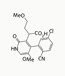 COCCC(C(=O)O)c1c(-c2cc(Cl)ccc2C#N)c(OC)c[nH]c1=O